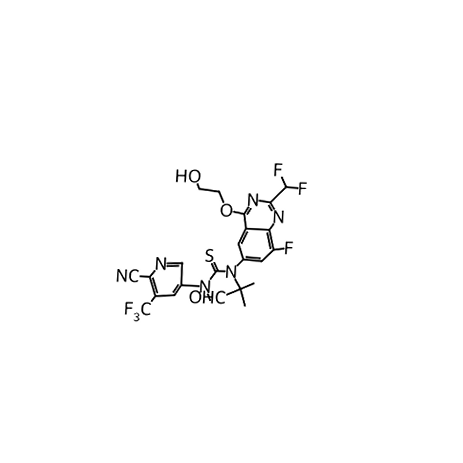 CN(C(=S)N(c1cc(F)c2nc(C(F)F)nc(OCCO)c2c1)C(C)(C)C=O)c1cnc(C#N)c(C(F)(F)F)c1